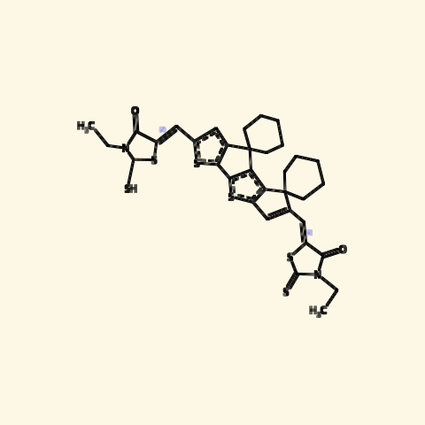 CCN1C(=O)/C(=C/C2=Cc3sc4c(c3C23CCCCC3)C2(CCCCC2)c2cc(/C=C3\SC(S)N(CC)C3=O)sc2-4)SC1=S